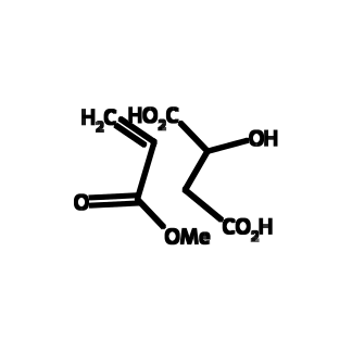 C=CC(=O)OC.O=C(O)CC(O)C(=O)O